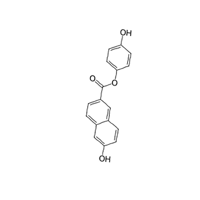 O=C(Oc1ccc(O)cc1)c1ccc2cc(O)ccc2c1